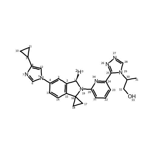 [2H][C@@H]1c2cc(-n3cnc(C4CC4)c3)ccc2C2(CC2)N1c1cccc(-c2nncn2C(C)CO)n1